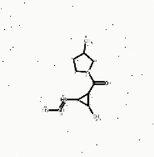 CC1CCN(C(=O)C2C(C)C2/[SH]=[SH]/S)C1